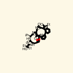 CCn1c(Cl)c2c3c(cccc31)-c1cccc3c1NC1Oc4ccc5cc4[C@]31c1oc(nc1-c1nc(Cl)c-2o1)[C@H](C(C)C)NC(=O)[C@@H](NC(=O)C(O)(CC)CC)C5